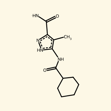 Cc1c(C([NH])=O)n[nH]c1NC(=O)C1CCCCC1